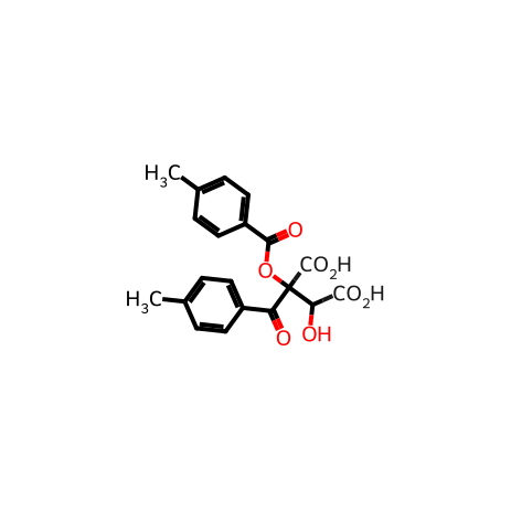 Cc1ccc(C(=O)OC(C(=O)O)(C(=O)c2ccc(C)cc2)C(O)C(=O)O)cc1